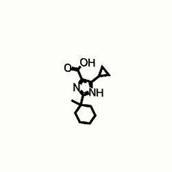 CC1(c2nc(C(=O)O)c(C3CC3)[nH]2)CCCCC1